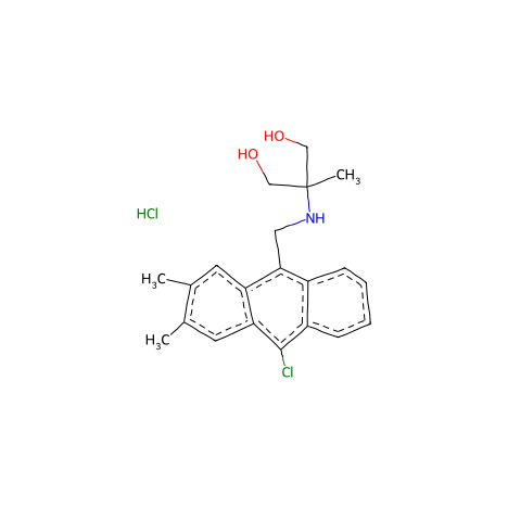 Cc1cc2c(Cl)c3ccccc3c(CNC(C)(CO)CO)c2cc1C.Cl